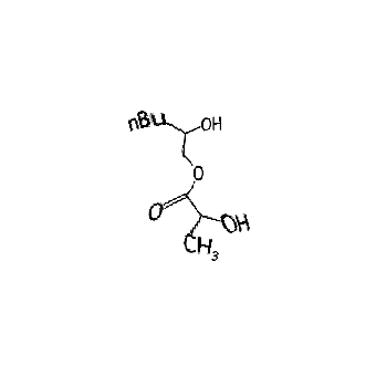 CCCCC(O)COC(=O)C(C)O